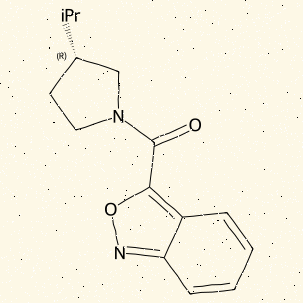 CC(C)[C@H]1CCN(C(=O)c2onc3ccccc23)C1